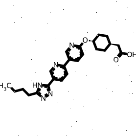 CCCCc1nnc(-c2ccc(-c3ccc(O[C@H]4CC[C@H](CC(=O)O)CC4)nc3)nc2)[nH]1